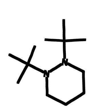 CC(C)(C)N1CCCCN1C(C)(C)C